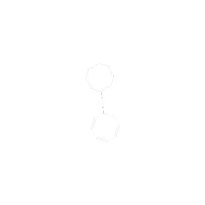 C1=C\C=C/[C]([Fe][C]2=C/C=C\C=C/C=C\2)=C\C=C/1